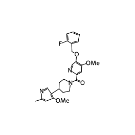 COc1cc(C(=O)N2CCC(c3cnc(C)cc3OC)CC2)ncc1OCc1ccccc1F